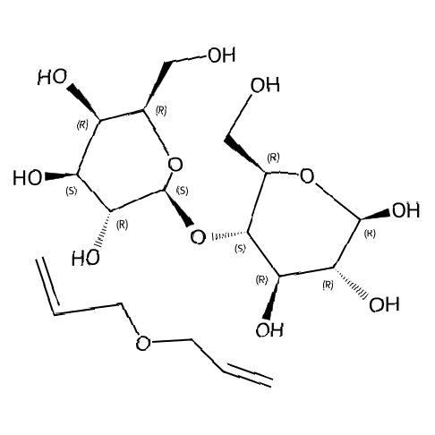 C=CCOCC=C.OC[C@H]1O[C@@H](O[C@H]2[C@H](O)[C@@H](O)[C@H](O)O[C@@H]2CO)[C@H](O)[C@@H](O)[C@H]1O